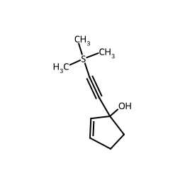 CS(C)(C)C#CC1(O)C=CCC1